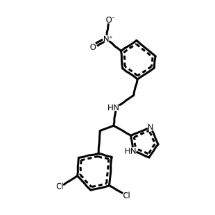 O=[N+]([O-])c1cccc(CNC(Cc2cc(Cl)cc(Cl)c2)c2ncc[nH]2)c1